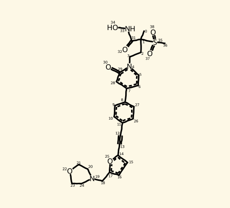 CC(CCn1ccc(-c2ccc(C#Cc3ccc(CN4CCOCC4)o3)cc2)cc1=O)(C(=O)NO)S(C)(=O)=O